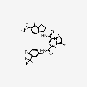 Cc1c(NCl)ccc2c1CC[C@@H]2NC(=O)c1cc(C(=O)NCc2ccc(F)c(C(F)(F)F)c2)nc2c(F)cnn12